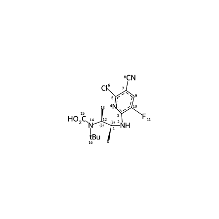 C[C@H](Nc1nc(Cl)c(C#N)cc1F)[C@H](C)N(C(=O)O)C(C)(C)C